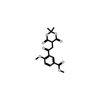 COC(=O)c1ccc(OC)c(C(=O)CC2C(=O)OC(C)(C)OC2=O)c1